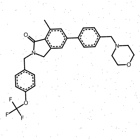 Cc1cc(-c2ccc(CN3CCOCC3)cc2)cc2c1C(=O)N(Cc1ccc(OC(F)(F)F)cc1)C2